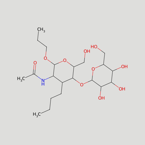 CCCCC1C(NC(C)=O)C(OCCC)OC(CO)C1OC1OC(CO)C(O)C(O)C1O